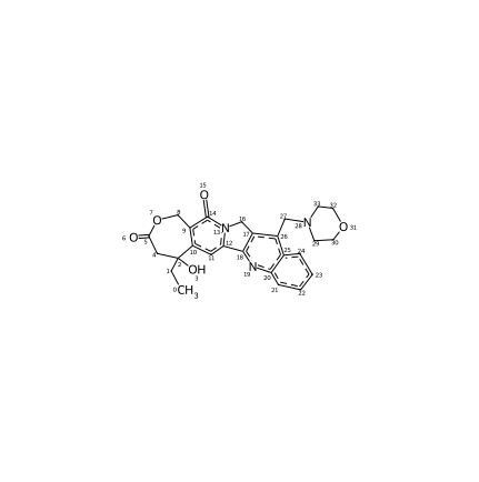 CCC1(O)CC(=O)OCc2c1cc1n(c2=O)Cc2c-1nc1ccccc1c2CN1CCOCC1